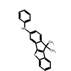 CC1(C)c2ccc(Nc3ccccc3)cc2-c2sc3ccccc3c21